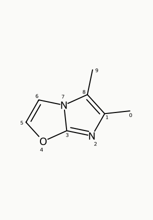 Cc1nc2occn2c1C